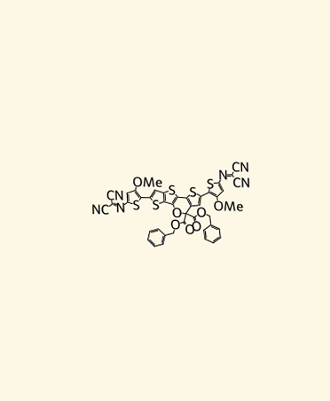 COc1cc(N=C(C#N)C#N)sc1-c1cc2c(s1)-c1sc3cc(-c4sc(N=C(C#N)C#N)cc4OC)sc3c1OC2(C(=O)OCc1ccccc1)C(=O)OCc1ccccc1